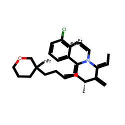 C=C(/C(=C/C)N(/C=C\C(C)CC)/C(=C/C)c1cccc(Cl)c1CC)[C@H](C)CCCCC1(CCC)CCCOC1